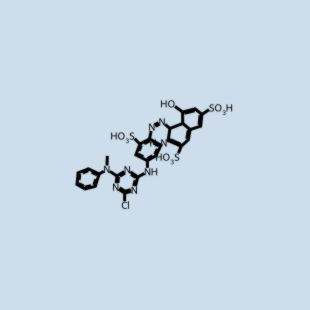 CN(c1ccccc1)c1nc(Cl)nc(Nc2ccc(/N=N\C3C(N)=C(S(=O)(=O)O)C=C4C=C(S(=O)(=O)O)C=C(O)C43)c(S(=O)(=O)O)c2)n1